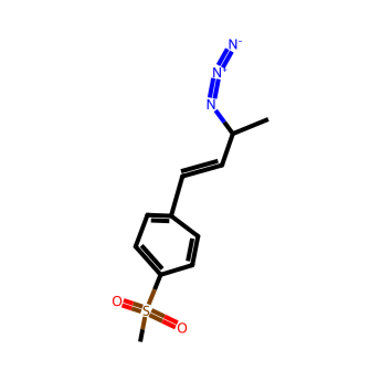 CC(/C=C/c1ccc(S(C)(=O)=O)cc1)N=[N+]=[N-]